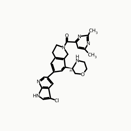 Cc1cc(C(=O)N2CCc3cc(-c4cnc5[nH]cc(Cl)c5c4)cc([C@@H]4COCCN4)c3C2)nc(C)n1